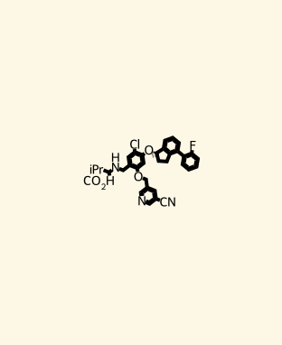 CC(C)C(NCc1cc(Cl)c(O[C@H]2CCc3c(-c4ccccc4F)cccc32)cc1OCc1cncc(C#N)c1)C(=O)O